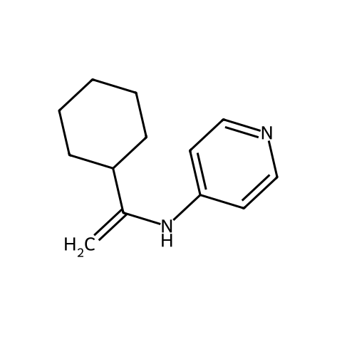 C=C(Nc1ccncc1)C1CCCCC1